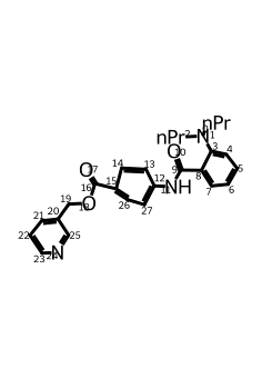 CCCN(CCC)c1ccccc1C(=O)Nc1ccc(C(=O)OCc2cccnc2)cc1